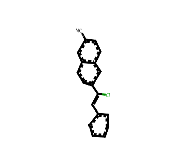 N#Cc1ccc2cc(/C(Cl)=C/c3ccccc3)ccc2c1